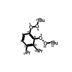 CC(C)c1ccc(OOC(C)(C)C)c(OOC(C)(C)C)c1C(C)C